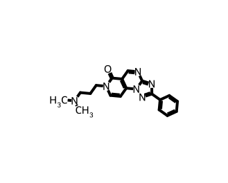 CN(C)CCCn1ccc2c(cnc3nc(-c4ccccc4)nn32)c1=O